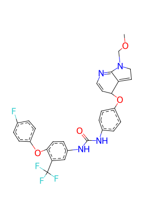 COCN1CC=C2C1=NC=CC2Oc1ccc(NC(=O)Nc2ccc(Oc3ccc(F)cc3)c(C(F)(F)F)c2)cc1